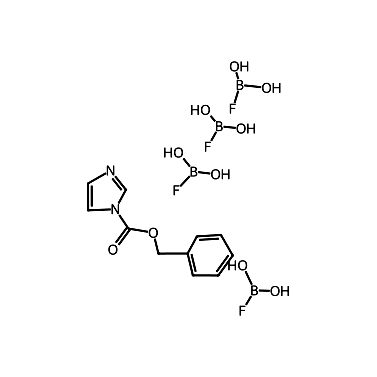 O=C(OCc1ccccc1)n1ccnc1.OB(O)F.OB(O)F.OB(O)F.OB(O)F